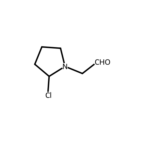 O=CCN1CCCC1Cl